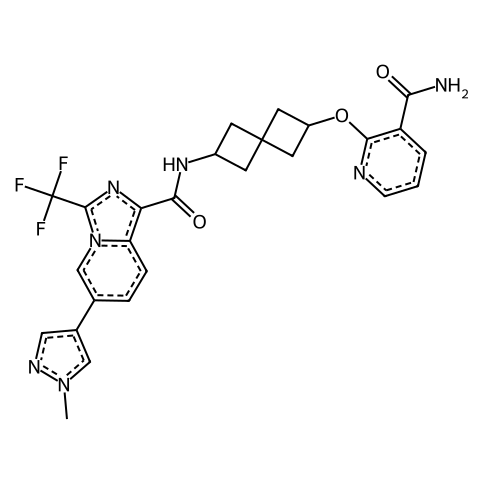 Cn1cc(-c2ccc3c(C(=O)NC4CC5(C4)CC(Oc4ncccc4C(N)=O)C5)nc(C(F)(F)F)n3c2)cn1